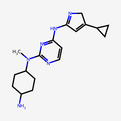 CN(c1nccc(NC2=NCC(C3CC3)=C2)n1)C1CCC(N)CC1